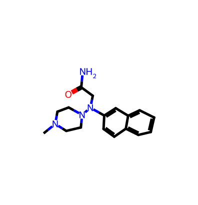 CN1CCN(N(CC(N)=O)c2ccc3ccccc3c2)CC1